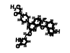 C=CC(=O)N1CCN(c2nc(OC[C@@H]3CCC(=O)N3)nc3c(Oc4c(C)ccc5[nH]ncc45)cccc23)CC1